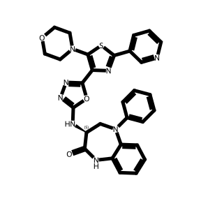 O=C1Nc2ccccc2N(c2ccccc2)C[C@@H]1Nc1nnc(-c2nc(-c3cccnc3)sc2N2CCOCC2)o1